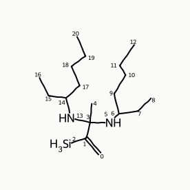 C=C([SiH3])C(C)(NC(CC)CCCC)NC(CC)CCCC